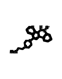 CNCCN1CCN(c2cc3c(c4ncccc24)N[S+]([O-])c2ccccc2-3)CC1